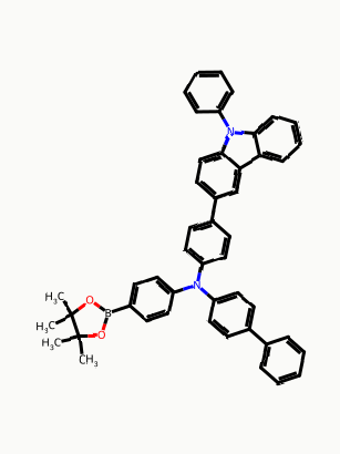 CC1(C)OB(c2ccc(N(c3ccc(-c4ccccc4)cc3)c3ccc(-c4ccc5c(c4)c4ccccc4n5-c4ccccc4)cc3)cc2)OC1(C)C